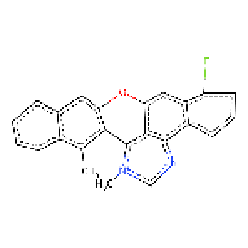 Cc1c2c(cc3ccccc13)Oc1cc3c(F)cccc3c3nc[n+](C)c-2c13